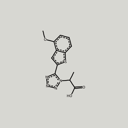 COc1cccc2sc(-c3nnnn3C(C)C(=O)O)cc12